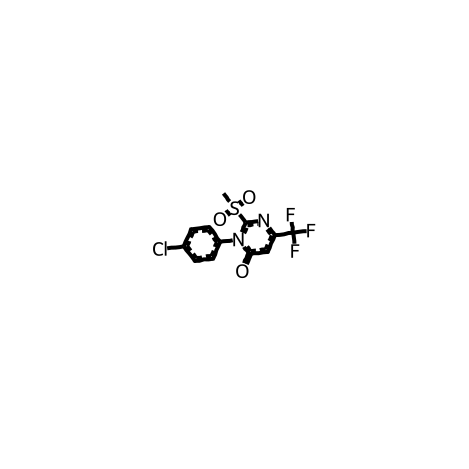 CS(=O)(=O)c1nc(C(F)(F)F)cc(=O)n1-c1ccc(Cl)cc1